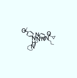 CCCCN(C(=O)C1CC1)c1ccc2nc(Nc3ccc(C(C)=O)cc3)n(CCCN3CCCCC3)c2n1